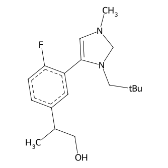 CC(CO)c1ccc(F)c(C2=CN(C)CN2CC(C)(C)C)c1